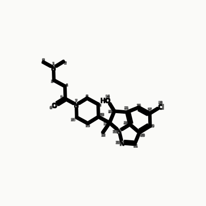 CN(C)CCC(=O)N1CCC(C2(C)C(O)c3cc(Cl)cc4cnn2c34)CC1